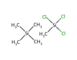 C[Si](C)(C)C.C[Si](Cl)(Cl)Cl